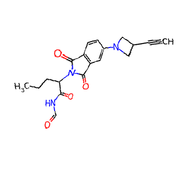 C#CC1CN(c2ccc3c(c2)C(=O)N(C(CCC)C(=O)NC=O)C3=O)C1